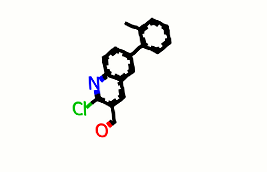 Cc1ccccc1-c1ccc2nc(Cl)c(C=O)cc2c1